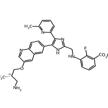 Cc1cccc(-c2nc(CNc3cccc(C(=O)O)c3F)[nH]c2-c2ccc3ncc(OC[C@@H](C)CN)cc3c2)n1